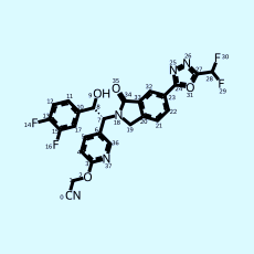 N#CCOc1ccc([C@H](C(O)c2ccc(F)c(F)c2)N2Cc3ccc(-c4nnc(C(F)F)o4)cc3C2=O)cn1